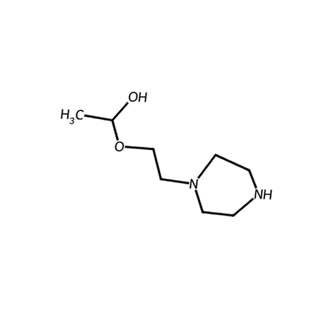 CC(O)OCCN1CCNCC1